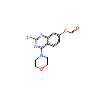 O=COc1ccc2c(N3CCOCC3)nc(Cl)nc2c1